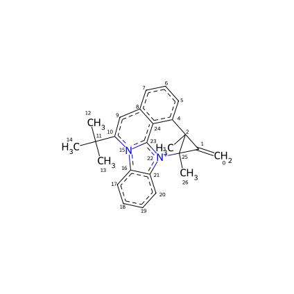 C=C1C2(C)c3cccc4cc(C(C)(C)C)n5c6ccccc6[n+](c5c34)C12C